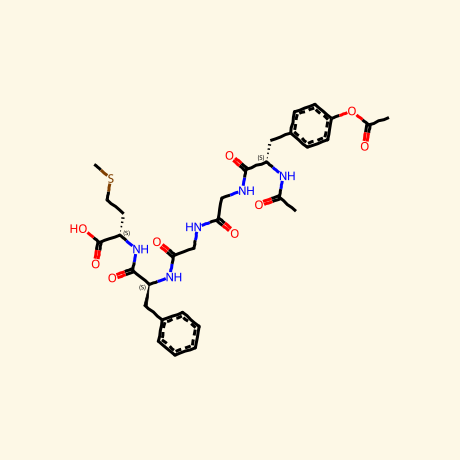 CSCC[C@H](NC(=O)[C@H](Cc1ccccc1)NC(=O)CNC(=O)CNC(=O)[C@H](Cc1ccc(OC(C)=O)cc1)NC(C)=O)C(=O)O